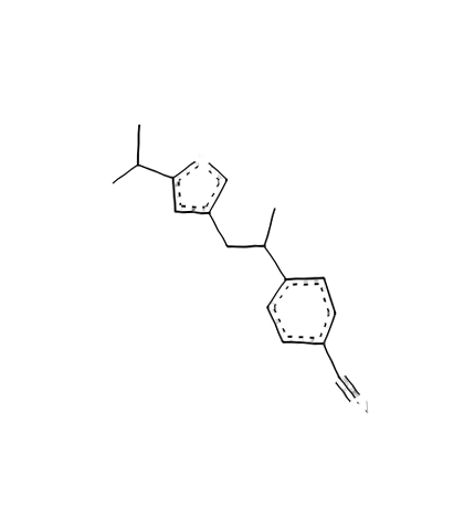 CC(C)c1cc(CC(C)c2ccc(C#N)cc2)cs1